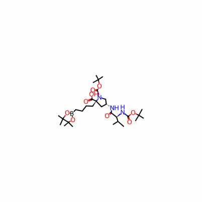 CC(C)[C@H](NC(=O)OC(C)(C)C)C(=O)N[C@H]1CN(C(=O)OC(C)(C)C)[C@@](CCCCB2OC(C)(C)C(C)(C)O2)(C(=O)O)C1